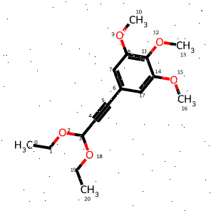 CCOC(C#Cc1cc(OC)c(OC)c(OC)c1)OCC